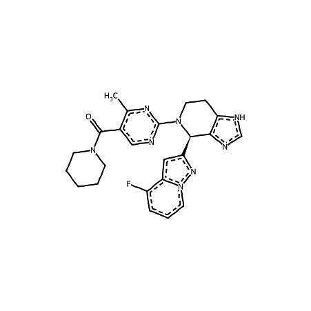 Cc1nc(N2CCc3[nH]cnc3[C@H]2c2cc3c(F)cccn3n2)ncc1C(=O)N1CCCCC1